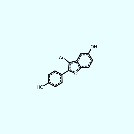 CC(=O)c1c(-c2ccc(O)cc2)oc2ccc(O)cc12